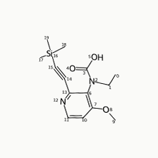 CCN(C(=O)O)c1c(OC)ccnc1C#C[Si](C)(C)C